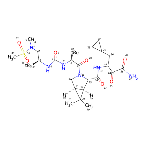 CN(C[C@@H](NC(=O)N[C@H](C(=O)N1C[C@H]2[C@@H]([C@H]1C(=O)NC(CC1CC1)C(=O)C(N)=O)C2(C)C)C(C)(C)C)C(C)(C)C)S(C)(=O)=O